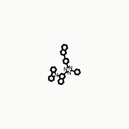 c1ccc(-c2nc(-c3ccc(-c4ccc5ccccc5c4)cc3)nc(-c3cc(-n4c5ccccc5c5ccccc54)c4ccccc4c3)n2)cc1